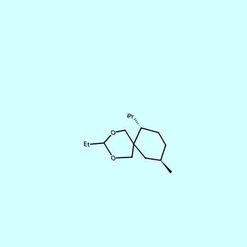 CCC1OCC2(CO1)C[C@H](C)CC[C@H]2C(C)C